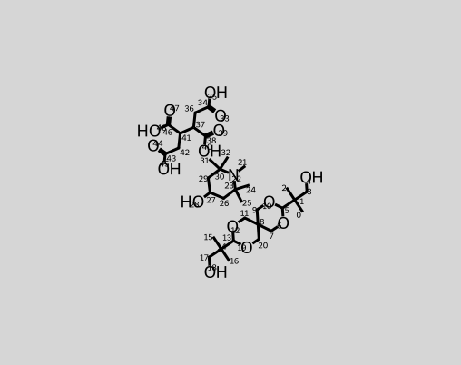 CC(C)(CO)C1OCC2(CO1)COC(C(C)(C)CO)OC2.CN1C(C)(C)CC(O)CC1(C)C.O=C(O)CC(C(=O)O)C(CC(=O)O)C(=O)O